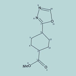 COC(=O)C1CCC(c2nnco2)CC1